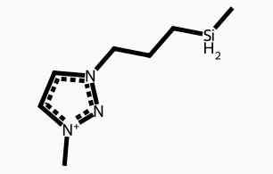 C[SiH2]CCCn1cc[n+](C)n1